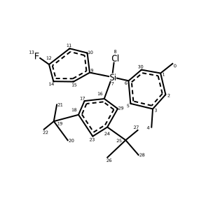 Cc1cc(C)cc([Si](Cl)(c2ccc(F)cc2)c2cc(C(C)(C)C)cc(C(C)(C)C)c2)c1